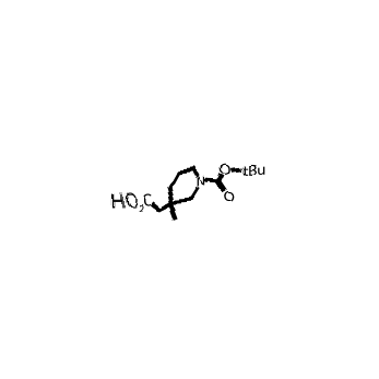 CC1(CC(=O)O)CCCN(C(=O)OC(C)(C)C)C1